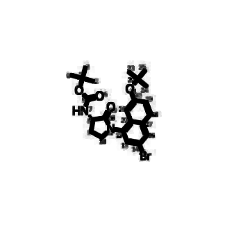 CC(C)(C)OC(=O)N[C@H]1CCN(c2cc(Br)cc3ccc(OC(C)(C)C)cc23)C1=O